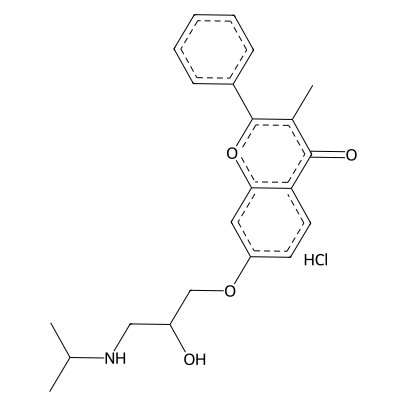 Cc1c(-c2ccccc2)oc2cc(OCC(O)CNC(C)C)ccc2c1=O.Cl